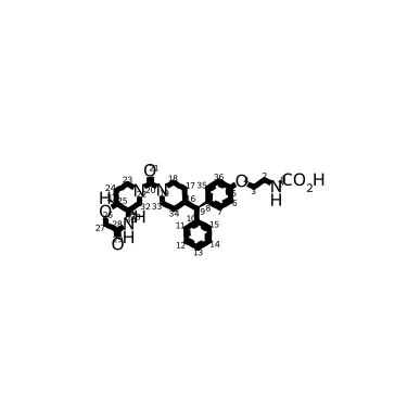 O=C(O)NCCOc1ccc([C@@H](c2ccccc2)C2CCN(C(=O)N3CC[C@@H]4OCC(=O)N[C@@H]4C3)CC2)cc1